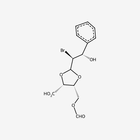 O=COC[C@H]1OC([C@@H](Br)[C@@H](O)c2ccccc2)O[C@H]1C(=O)O